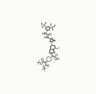 CCc1cc(-c2cc(NC(=O)Nc3cc(C(F)(F)F)cc(C(F)(F)F)c3)nn2C)cc2cnc(N(C(=O)O)C3CCC(N(C(=O)OC(C)(C)C)C(=O)OC(C)(C)C)CC3)nc12